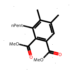 CCCCCc1c(C)c(C)cc(C(=O)OC)c1C(=O)OC